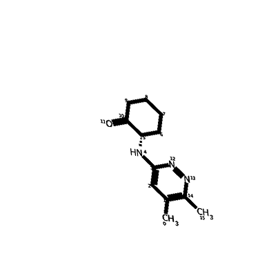 Cc1cc(N[C@H]2CCCCC2=O)nnc1C